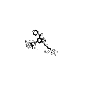 CC1(C)OB(c2cc(C(=O)N3CCOCC3)c3ncn(COCC[Si](C)(C)C)c3c2)OC1(C)C